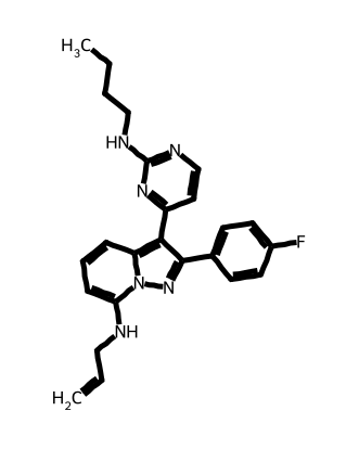 C=CCNc1cccc2c(-c3ccnc(NCCCC)n3)c(-c3ccc(F)cc3)nn12